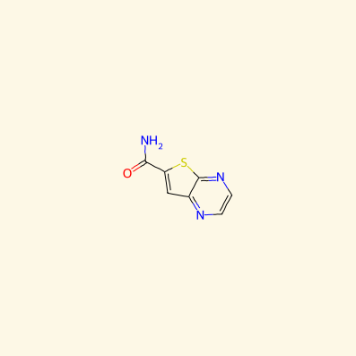 NC(=O)c1cc2nccnc2s1